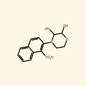 CCCC1C(O)OCCN1c1ccc2ccccc2c1C(=O)O